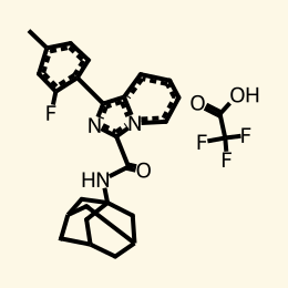 Cc1ccc(-c2nc(C(=O)NC34CC5CC(CC(C5)C3)C4)n3ccccc23)c(F)c1.O=C(O)C(F)(F)F